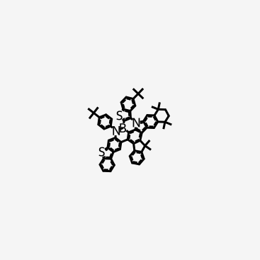 CC(C)(C)c1ccc(N2B3c4sc5ccc(C(C)(C)C)cc5c4-n4c5cc6c(cc5c5c7c(c(c3c54)-c3cc4c(cc32)sc2ccccc24)-c2ccccc2C7(C)C)C(C)(C)CCC6(C)C)cc1